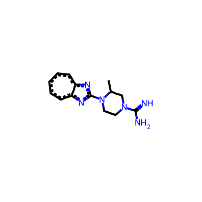 CC1CN(C(=N)N)CCN1c1nc2cccccc-2n1